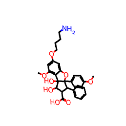 COc1ccc(C23Oc4cc(OCCCCN)cc(OC)c4C2(O)C(O)C(C(=O)O)C3c2ccccc2)cc1